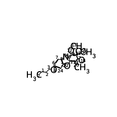 CCCCOc1ccc2nc3c(OC)c(OC)c(=O)c(C)c-3oc2c1